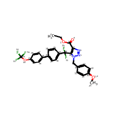 CCOC(=O)c1nnn(Cc2ccc(OC)cc2)c1C(F)(F)c1ccc(-c2ccc(OC(F)(F)F)cc2)cc1